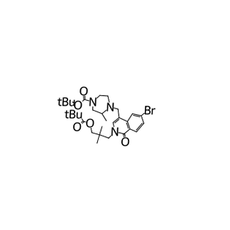 CC1CN(C(=O)OC(C)(C)C)CCN1Cc1cn(CC(C)(C)COC(=O)C(C)(C)C)c(=O)c2ccc(Br)cc12